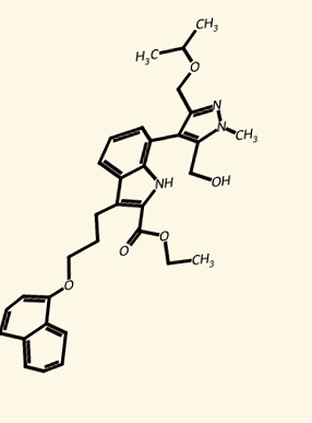 CCOC(=O)c1[nH]c2c(-c3c(COC(C)C)nn(C)c3CO)cccc2c1CCCOc1cccc2ccccc12